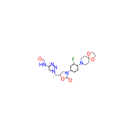 O=CNc1cn(CC2CN(c3ccc(N4CCC5(CC4)OCCO5)c(F)c3)C(=O)O2)nn1